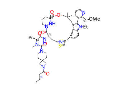 C/C=C/C(=O)N1CC2(CCN(C(=O)N(C)[C@H](C(=O)N[C@H]3Cc4nc(cs4)-c4ccc5c(c4)c(c(-c4cccnc4[C@H](C)OC)n5CC)CC(C)(C)COC(=O)[C@@H]4CCCN(N4)C3=O)C(C)C)CC2)C1